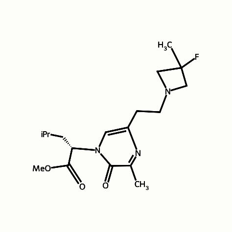 COC(=O)[C@H](CC(C)C)n1cc(CCN2CC(C)(F)C2)nc(C)c1=O